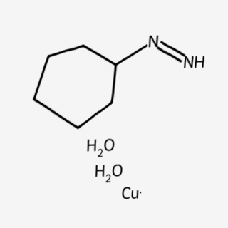 N=NC1CCCCC1.O.O.[Cu]